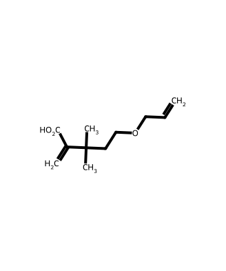 C=CCOCCC(C)(C)C(=C)C(=O)O